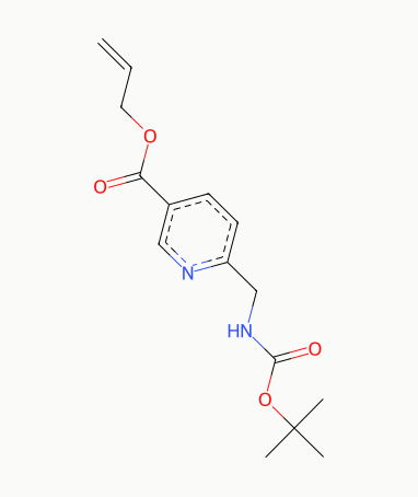 C=CCOC(=O)c1ccc(CNC(=O)OC(C)(C)C)nc1